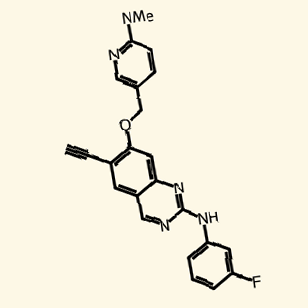 C#Cc1cc2cnc(Nc3cccc(F)c3)nc2cc1OCc1ccc(NC)nc1